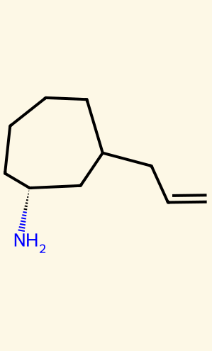 C=CCC1CCCC[C@@H](N)C1